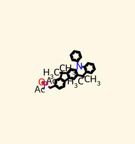 CC(=O)P(=O)(Cc1ccc2c(c1)C(C)(C)c1cc3c(cc1-2)C(C)(C)c1ccccc1N3c1ccccc1)C(C)=O